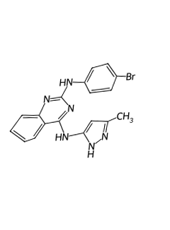 Cc1cc(Nc2nc(Nc3ccc(Br)cc3)nc3ccccc23)[nH]n1